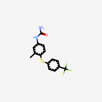 Cc1cc(NC(N)=O)ccc1Sc1ccc(C(F)(F)F)cc1